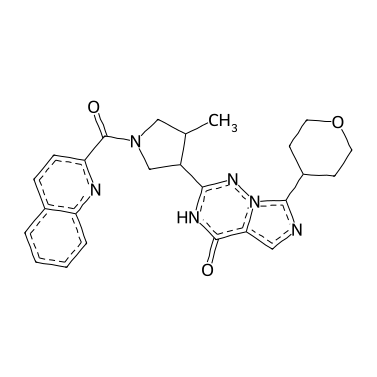 CC1CN(C(=O)c2ccc3ccccc3n2)CC1c1nn2c(C3CCOCC3)ncc2c(=O)[nH]1